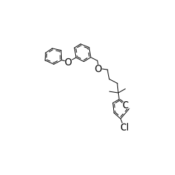 CC(C)(CCCOCc1cccc(Oc2ccccc2)c1)c1ccc(Cl)cc1